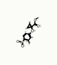 COC(=O)C1(Oc2ccc([N+](=O)[O-])c(F)c2)CC1